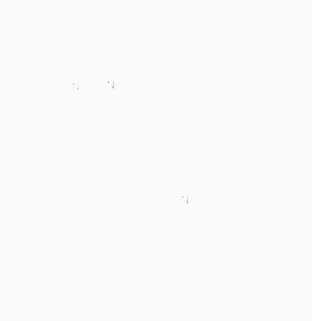 c1ccc2c(c1)-c1ccccc1C21c2ccccc2-c2nc(-c3ccc(-c4ccc(-c5ccc6ccc7cccnc7c6n5)cc4)cc3)c3ccccc3c21